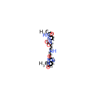 C=C1COc2ccc(N3CC(CCNCCOc4cnc5ccc(=O)n(C)c5n4)OC3=O)nc2N1